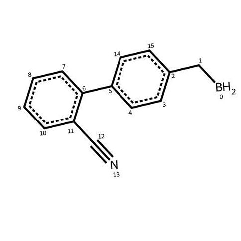 BCc1ccc(-c2ccccc2C#N)cc1